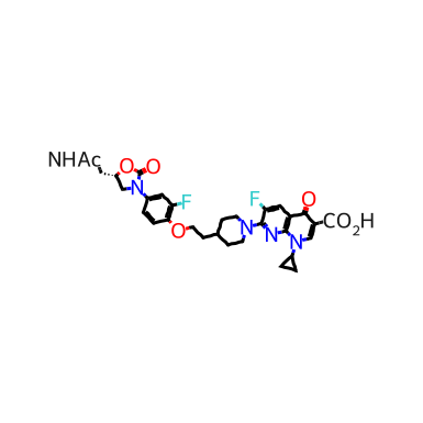 CC(=O)NC[C@H]1CN(c2ccc(OCCC3CCN(c4nc5c(cc4F)c(=O)c(C(=O)O)cn5C4CC4)CC3)c(F)c2)C(=O)O1